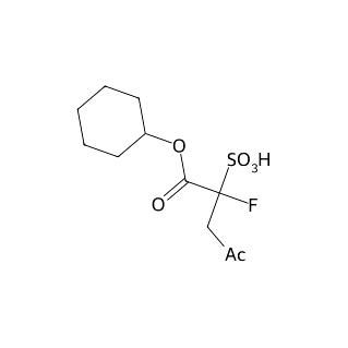 CC(=O)CC(F)(C(=O)OC1CCCCC1)S(=O)(=O)O